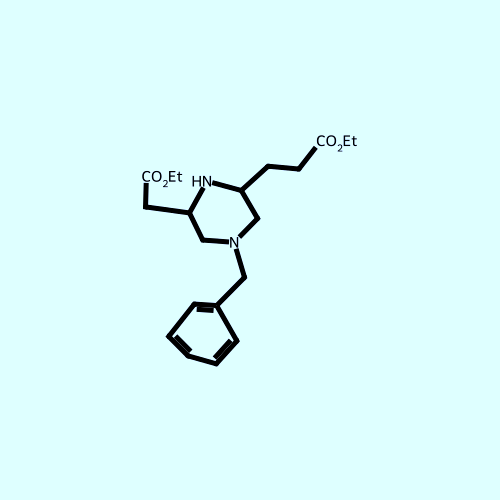 CCOC(=O)CCC1CN(Cc2ccccc2)CC(CC(=O)OCC)N1